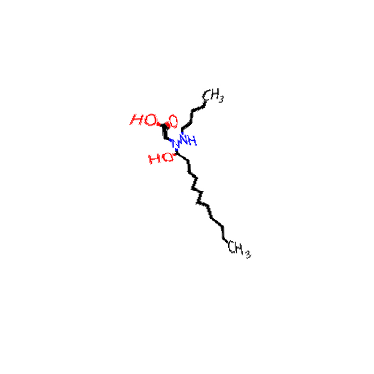 CCCCCCCCCCCC(O)N(CC(=O)O)NCCCCC